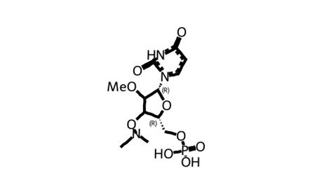 COC1C(ON(C)C)[C@@H](COP(=O)(O)O)O[C@H]1n1ccc(=O)[nH]c1=O